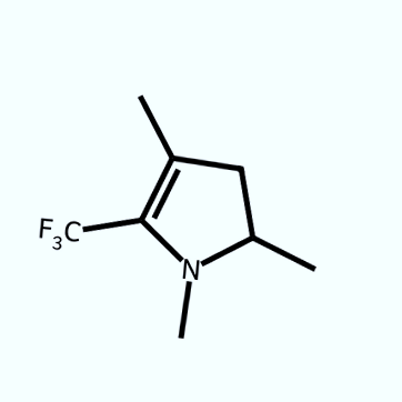 CC1=C(C(F)(F)F)N(C)C(C)C1